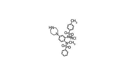 Cc1ccc(S(=O)(=O)Nc2cc(N3CCCNCC3)ccc2N(C)S(=O)(=O)c2ccccc2)cc1.Cl